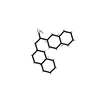 CC(CC1CCC2CCCCC2C1)C1CCC2CCCCC2C1